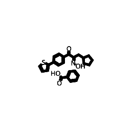 O=C(C(CC1CCCC1)=NO)c1ccc(-c2cccs2)cc1.O=C(O)c1ccccc1